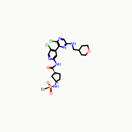 CCS(=O)(=O)N[C@@H]1CC[C@H](C(=O)Nc2cc(-c3nc(NCC4CCOCC4)cnc3Cl)c(Cl)cn2)C1